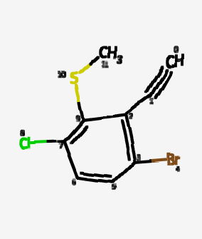 C#Cc1c(Br)ccc(Cl)c1SC